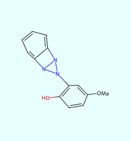 COc1ccc(O)c(-n2n3c4ccccc4n23)c1